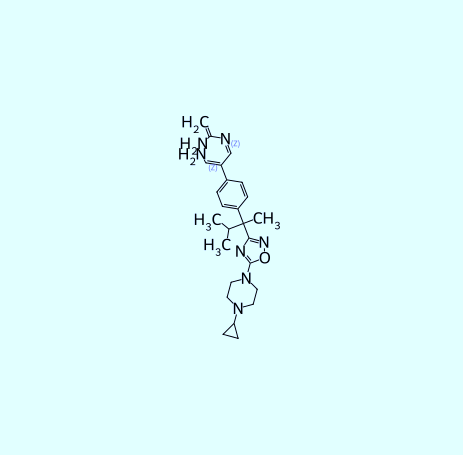 C=C(N)/N=C\C(=C/N)c1ccc(C(C)(c2noc(N3CCN(C4CC4)CC3)n2)C(C)C)cc1